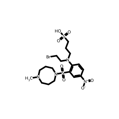 CN1CCCN(S(=O)(=O)c2cc([N+](=O)[O-])ccc2N(CCBr)CCCS(=O)(=O)O)CCC1